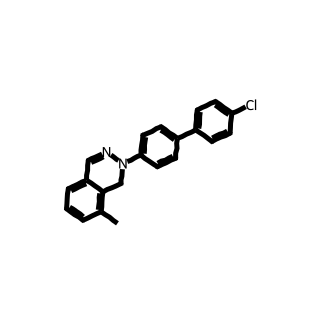 Cc1cccc2c1CN(c1ccc(-c3ccc(Cl)cc3)cc1)N=C2